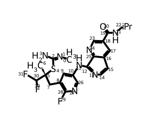 C/N=C(/N)S[C@](C)(Cc1cc(Nc2nccc3cc(C(=O)NC(C)C)cnc23)cnc1F)C(F)F